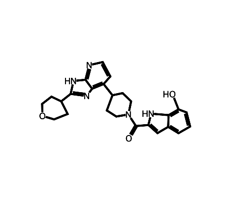 O=C(c1cc2cccc(O)c2[nH]1)N1CCC(c2ccnc3[nH]c(C4CCOCC4)nc23)CC1